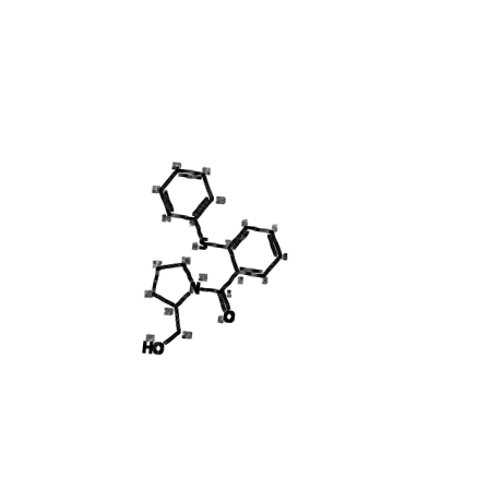 O=C(c1ccccc1Sc1ccccc1)N1CCCC1CO